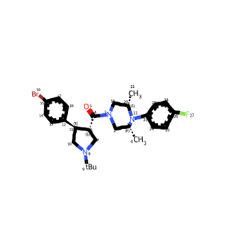 C[C@@H]1CN(C(=O)[C@@H]2CN(C(C)(C)C)C[C@H]2c2ccc(Br)cc2)C[C@H](C)N1c1ccc(F)cc1